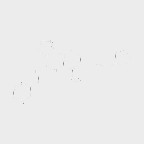 COc1c(OCCN2CCCC2)ccc2c1N=C(NC(=O)c1cccnc1)N1CCN=C21